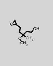 COC(C)(CCO)CCC1CO1